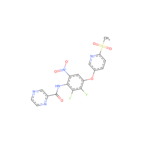 CS(=O)(=O)c1ccc(Oc2cc([N+](=O)[O-])c(NC(=O)c3cnccn3)c(F)c2F)cn1